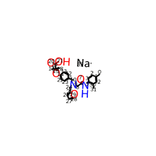 Cc1ccc(NC(=O)CN(Cc2ccc(OC(C)(C)C(=O)O)cc2)Cc2ccco2)c(C)c1.[Na]